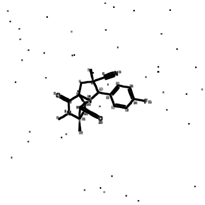 CN1C(=O)C23C[C@](C)(C#N)C(c4ccc(F)cc4)N2C(=O)[C@]1(C)SS3